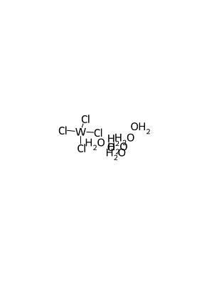 O.O.O.O.O.O.[Cl][W]([Cl])([Cl])[Cl]